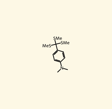 CSC(SC)(SC)c1ccc(N(C)C)cc1